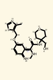 CN/C(C(=O)NC1(CO)CCOCC1)=C1/C=C(OCc2scnc2C)C=CC1=N